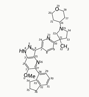 COc1cc2[nH]nc(-c3ccc(C4(C)CCN(C5CCOCC5)C4)nc3)c2nc1-c1cccc2c1CCC2